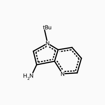 CC(C)(C)n1cc(N)c2ncccc21